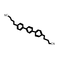 N#CCCCCc1ccc(-c2ccc(-c3ccc(CCCCC#N)cc3)cc2)cc1